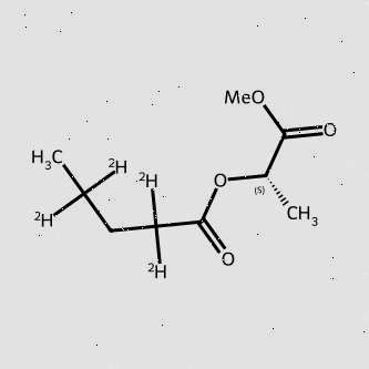 [2H]C([2H])(C)CC([2H])([2H])C(=O)O[C@@H](C)C(=O)OC